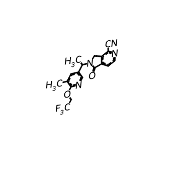 Cc1cc(C(C)N2Cc3c(ccnc3C#N)C2=O)cnc1OCC(F)(F)F